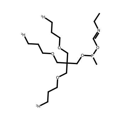 [2H]CCCOCC(COCCC[2H])(COCCC[2H])COP(C)O/C=N/CC